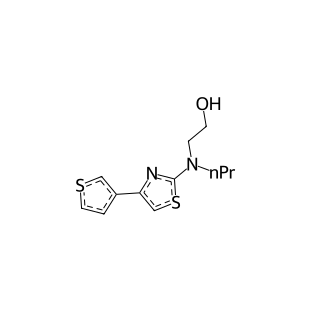 CCCN(CCO)c1nc(-c2ccsc2)cs1